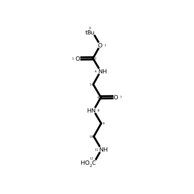 CC(C)(C)OC(=O)NCC(=O)NCCNC(=O)O